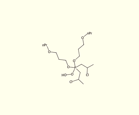 CCCOCCCOP(CC(C)Cl)(CC(C)Cl)(OO)OCCCOCCC